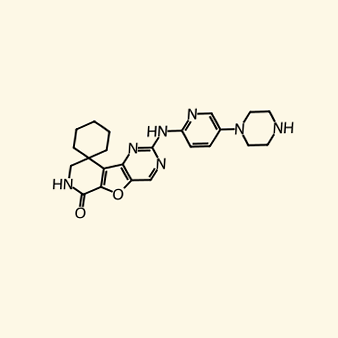 O=C1NCC2(CCCCC2)c2c1oc1cnc(Nc3ccc(N4CCNCC4)cn3)nc21